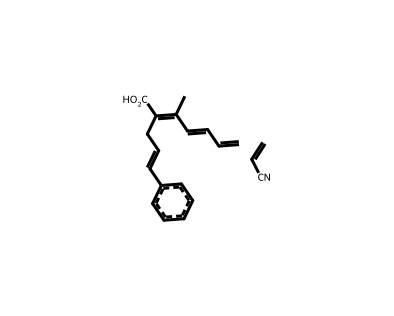 C=CC#N.C=CC=CC(C)=C(CC=Cc1ccccc1)C(=O)O